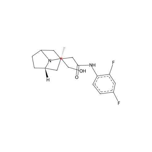 C[C@H](CO)N1C2CC[C@H]1CC(CC(=O)Nc1ccc(F)cc1F)C2